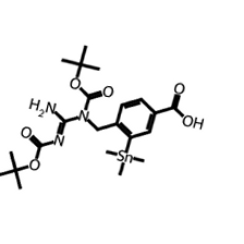 CC(C)(C)OC(=O)N=C(N)N(Cc1ccc(C(=O)O)c[c]1[Sn]([CH3])([CH3])[CH3])C(=O)OC(C)(C)C